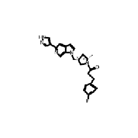 C[C@H]1C[C@H](Cn2ccc3cc(-c4cn[nH]c4)ncc32)CN1C(=O)CCc1ccc(F)cc1